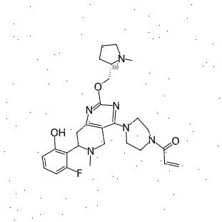 C=CC(=O)N1CCN(c2nc(OC[C@@H]3CCCN3C)nc3c2CN(C)C(c2c(O)cccc2F)C3)CC1